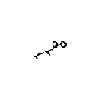 CC(C)=CCOC(=O)CSc1nccc(-c2ccccn2)n1